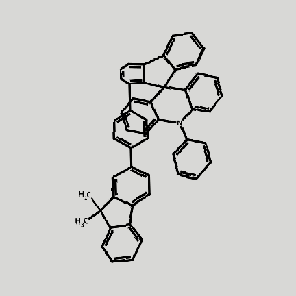 CC1(C)c2ccccc2-c2ccc(-c3ccc(-c4cccc5c4C4(c6ccccc6-5)c5ccccc5N(c5ccccc5)c5ccccc54)cc3)cc21